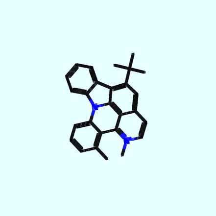 Cc1cccc2c1c1c3c(cc[n+]1C)cc(C(C)(C)C)c1c4ccccc4n2c13